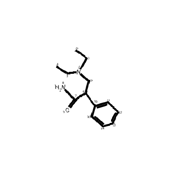 CCN(CC)CC(C(N)=O)c1cc[c]cc1